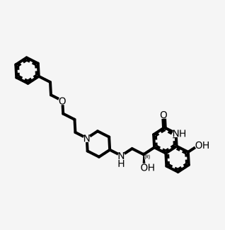 O=c1cc([C@@H](O)CNC2CCN(CCCOCCc3ccccc3)CC2)c2cccc(O)c2[nH]1